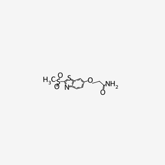 CS(=O)(=O)c1nc2ccc(OCCC(N)=O)cc2s1